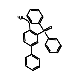 BOc1ccc(-c2ccccc2)cc1P(=O)(c1ccccc1)c1ccccc1